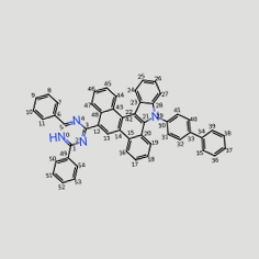 N=C(/N=C(\N=C\c1ccccc1)c1cc2c3ccccc3c3c(c4ccccc4n3-c3ccc(-c4ccccc4)cc3)c2c2ccccc12)c1ccccc1